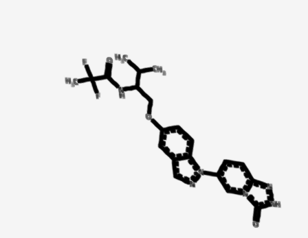 CC(C)C(COc1ccc2c(cnn2-c2ccc3n[nH]c(=O)n3c2)c1)NC(=O)C(C)(F)F